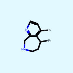 CC(C)c1ccnc2c1C(C(C)C)CCNC2